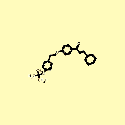 CC(C)(Oc1ccc(CCOc2ccc(C(=O)/C=C/c3ccccc3)cc2)cc1)C(=O)O